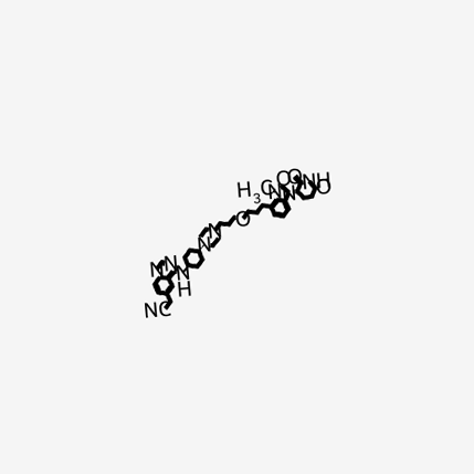 Cn1c(=O)n(C2CCC(=O)NC2=O)c2cccc(CCCOCCCN3CCN([C@H]4CC[C@H](Nc5ncnc6ccc(CC#N)cc56)CC4)CC3)c21